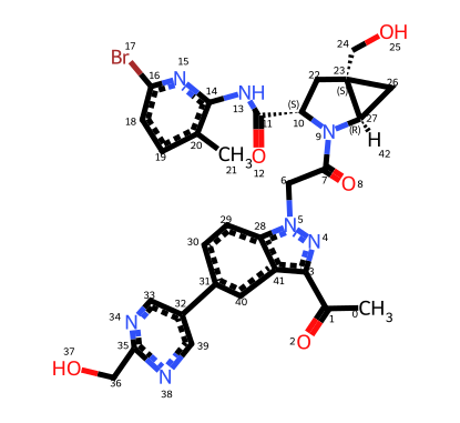 CC(=O)c1nn(CC(=O)N2[C@H](C(=O)Nc3nc(Br)ccc3C)C[C@@]3(CO)C[C@@H]23)c2ccc(-c3cnc(CO)nc3)cc12